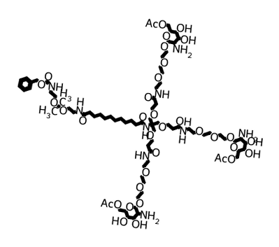 CC(=O)OCC1OC(OCCOCCOCCNC(=O)CCOCC(COCCC(=O)NCCOCCOCCOC2OC(COC(C)=O)C(O)C(O)C2N)(COCCC(O)NCCOCCOCCOC2OC(COC(C)=O)C(O)C(O)C2N)NC(=O)CCCCCCCCCCC(=O)NCCOC(C)(C)OCCNC(=O)OCc2ccccc2)C(N)C(O)C1O